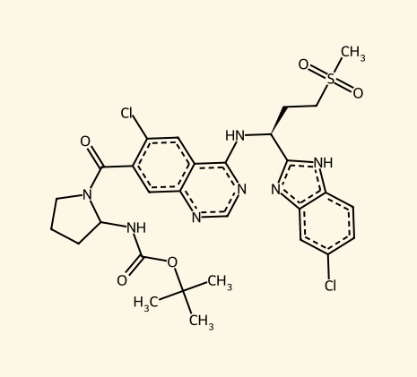 CC(C)(C)OC(=O)NC1CCCN1C(=O)c1cc2ncnc(N[C@@H](CCS(C)(=O)=O)c3nc4cc(Cl)ccc4[nH]3)c2cc1Cl